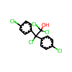 OC(Cl)(Cl)C(Cl)(c1ccc(Cl)cc1)c1ccc(Cl)cc1